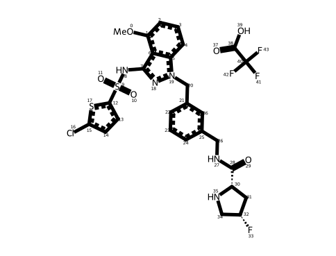 COc1cccc2c1c(NS(=O)(=O)c1ccc(Cl)s1)nn2Cc1cccc(CNC(=O)[C@@H]2C[C@H](F)CN2)c1.O=C(O)C(F)(F)F